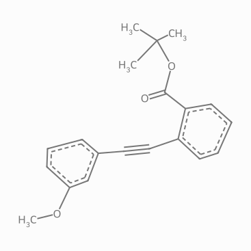 COc1cccc(C#Cc2ccccc2C(=O)OC(C)(C)C)c1